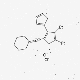 CCC1=C(CC)C(C2=CC=CC2)=[C]([Zr+2]=[C]2CCCCC2)C1.[Cl-].[Cl-]